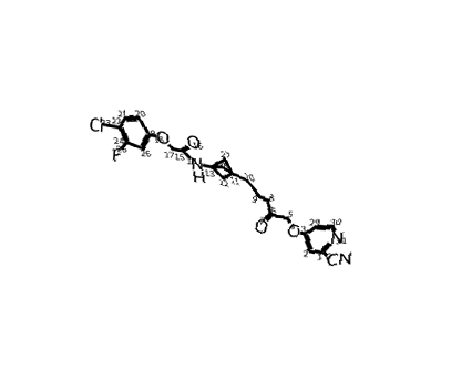 N#Cc1cc(OCC(=O)CCCC23CC(NC(=O)COc4ccc(Cl)c(F)c4)(C2)C3)ccn1